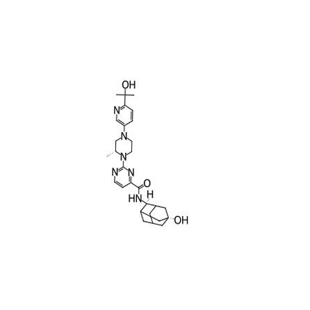 C[C@@H]1CN(c2ccc(C(C)(C)O)nc2)CCN1c1nccc(C(=O)N[C@H]2C3CC4CC2C[C@](O)(C4)C3)n1